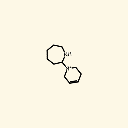 C1=CC[N+](C2CCCCCN2)CC1